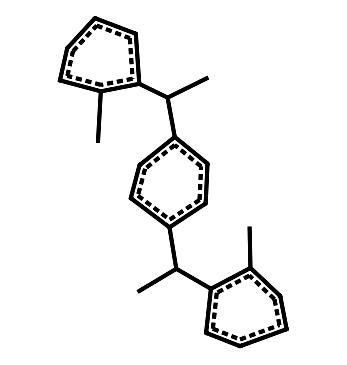 Cc1ccccc1C(C)c1ccc(C(C)c2ccccc2C)cc1